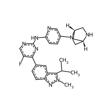 CC(C)c1c2cc(-c3nc(Nc4ccc(N5C[C@@H]6C[C@H]5CN6)cn4)ncc3F)ccc2nn1C